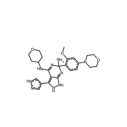 COc1cc(N2CCOCC2)ccc1C1(N)N=C2NNC(c3cn[nH]c3)=C2C(NC2CCOCC2)=N1